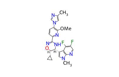 COc1nc(C2=NO[C@@H](C3CC3)[C@@H](c3cn(C)c4ncc(F)c(F)c34)N2)ccc1-n1cnc(C)c1